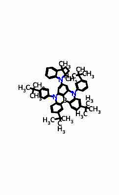 CC(C)(C)c1ccc(N2c3ccc(C(C)(C)C)cc3B3c4ccc(C(C)(C)C)cc4N(c4cccc(C(C)(C)C)c4)c4cc(N5c6ccccc6C6(C)CCC56C)cc2c43)cc1